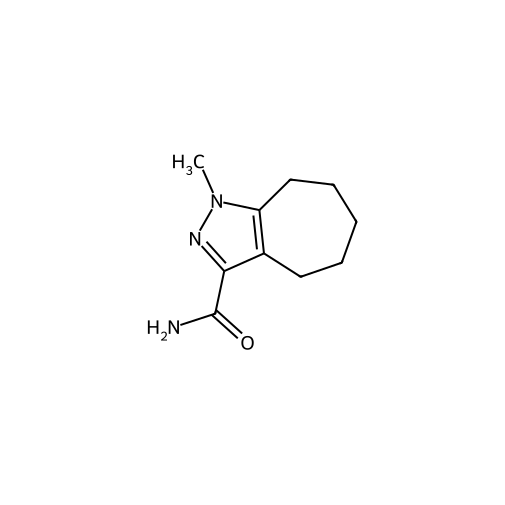 Cn1nc(C(N)=O)c2c1CCCCC2